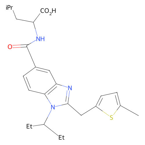 CCC(CC)n1c(Cc2ccc(C)s2)nc2cc(C(=O)NC(CC(C)C)C(=O)O)ccc21